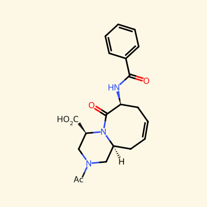 CC(=O)N1C[C@@H]2C/C=C\C[C@H](NC(=O)c3ccccc3)C(=O)N2[C@H](C(=O)O)C1